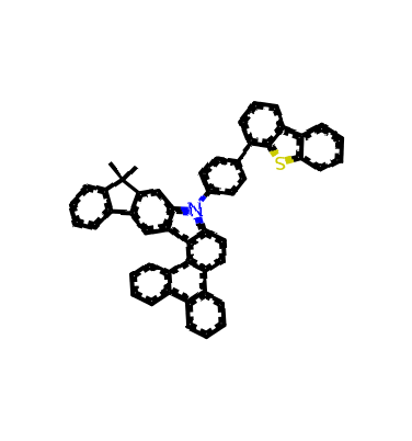 CC1(C)c2ccccc2-c2cc3c4c5c6ccccc6c6ccccc6c5ccc4n(-c4ccc(-c5cccc6c5sc5ccccc56)cc4)c3cc21